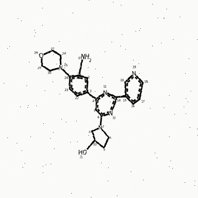 Nc1cc(-c2cc(N3CCC(O)C3)nc(-c3cccnc3)n2)ccc1N1CCOCC1